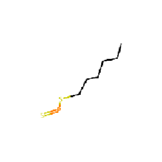 CCCCCCSP=S